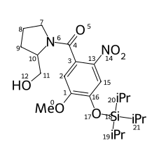 COc1cc(C(=O)N2CCCC2CO)c([N+](=O)[O-])cc1O[Si](C(C)C)(C(C)C)C(C)C